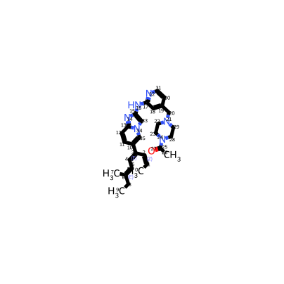 C\C=C/C(=C\C=C(/C)CC)c1ccc2nc(Nc3cc(CN4CCN(C(C)=O)CC4)ccn3)cn2c1